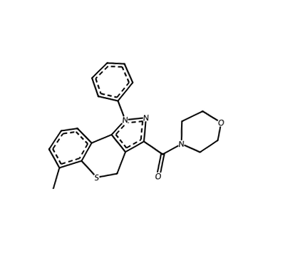 Cc1cccc2c1SCc1c(C(=O)N3CCOCC3)nn(-c3ccccc3)c1-2